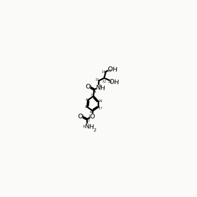 NC(=O)Oc1ccc(C(=O)NCC(O)CO)cc1